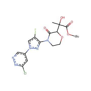 CC(C)(C)OC(=O)C(C)(O)C1OCCN(c2nn(-c3cnnc(Cl)c3)cc2F)C1=O